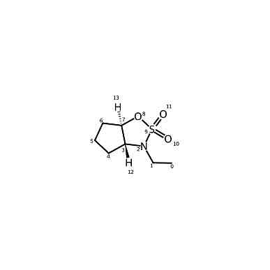 CCN1[C@@H]2CCC[C@H]2OS1(=O)=O